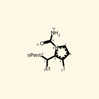 CCCCCC(CC)c1c(I)ccn1C(N)=O